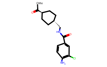 COC(=O)[C@H]1CC[C@H](CNC(=O)c2ccc(N)c(Cl)c2)CC1